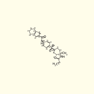 C=CC(=O)NC1(C)CCN(S(=O)(=O)c2ccc(NC(=O)c3cc4c(s3)CCCC4)cc2)CC1